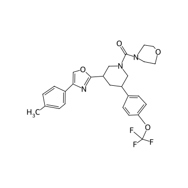 Cc1ccc(-c2coc(C3CC(c4ccc(OC(F)(F)F)cc4)CN(C(=O)N4CCOCC4)C3)n2)cc1